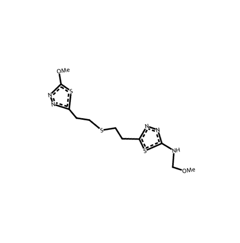 COCNc1nnc(CCSCCc2nnc(OC)s2)s1